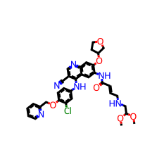 COC(CNC/C=C/C(=O)Nc1cc2c(Nc3ccc(OCc4ccccn4)c(Cl)c3)c(C#N)cnc2cc1OC1CCOC1)OC